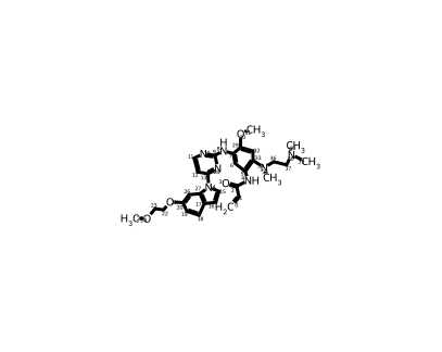 C=CC(=O)Nc1cc(Nc2nccc(-n3ccc4ccc(OCCOC)cc43)n2)c(OC)cc1N(C)CCN(C)C